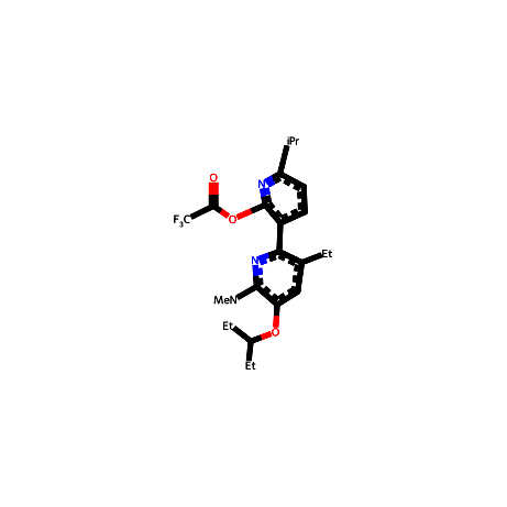 CCc1cc(OC(CC)CC)c(NC)nc1-c1ccc(C(C)C)nc1OC(=O)C(F)(F)F